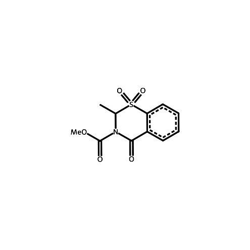 COC(=O)N1C(=O)c2ccccc2S(=O)(=O)C1C